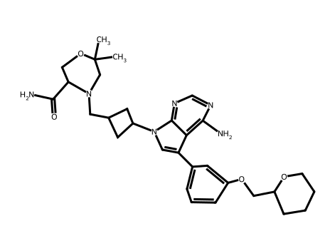 CC1(C)CN(CC2CC(n3cc(-c4cccc(OCC5CCCCO5)c4)c4c(N)ncnc43)C2)C(C(N)=O)CO1